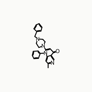 Cc1cc2c(cn1)c(=O)cc(N1CCN(Cc3ccccc3)CC1)n2-c1ccccc1